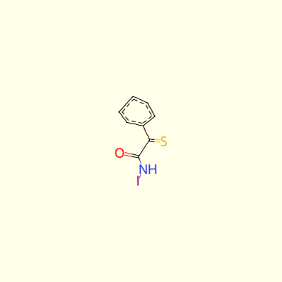 O=C(NI)C(=S)c1ccccc1